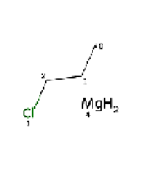 [CH2]CCCl.[MgH2]